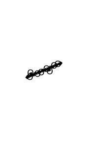 C=COCOCCC(=O)OCCOCOCCC(=O)OC=C